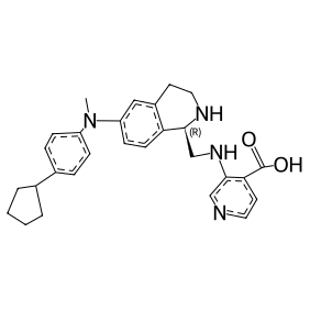 CN(c1ccc(C2CCCC2)cc1)c1ccc2c(c1)CCN[C@H]2CNc1cnccc1C(=O)O